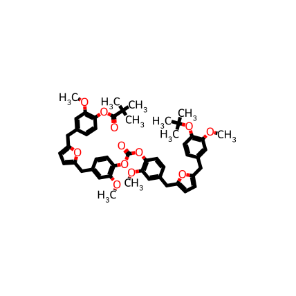 COc1cc(Cc2ccc(Cc3ccc(OC(=O)C(C)(C)C)c(OC)c3)o2)ccc1OC(=O)Oc1ccc(Cc2ccc(Cc3ccc(OC(C)(C)C)c(OC)c3)o2)cc1OC